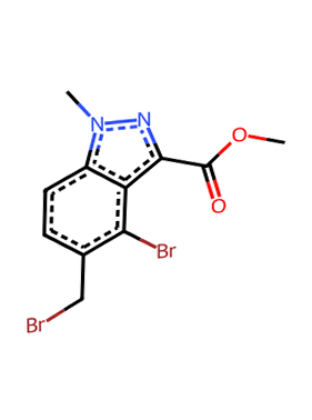 COC(=O)c1nn(C)c2ccc(CBr)c(Br)c12